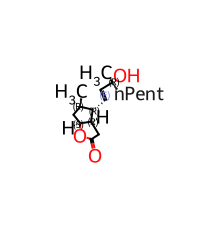 CCCCC[C@@](C)(O)/C=C/[C@@H]1[C@H]2CC(=O)O[C@H]2C[C@H]1C